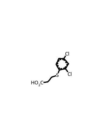 O=C(O)CCSc1ccc(Cl)cc1Cl